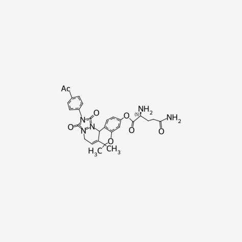 CC(=O)c1ccc(-n2c(=O)n3n(c2=O)C2C(=CC3)C(C)(C)Oc3cc(OC(=O)[C@@H](N)CCC(N)=O)ccc32)cc1